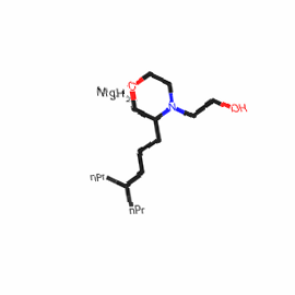 CCCC(CCC)CCCC1COCCN1CCO.[MgH2]